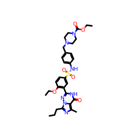 CCCc1nc(C)c2c(=O)[nH]c(-c3cc(S(=O)(=O)Nc4ccc(CN5CCN(C(=O)OCC)CC5)cc4)ccc3OCC)nn12